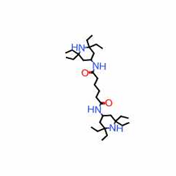 CCC1(CC)CC(NC(=O)CCCCC(=O)NC2CC(CC)(CC)NC(CC)(CC)C2)CC(CC)(CC)N1